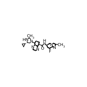 Cc1cn2cc(NC(=O)c3ccc(N4C[C@@H](C)N[C@@H](C5CC5)C4)c4nccnc34)cc(F)c2n1